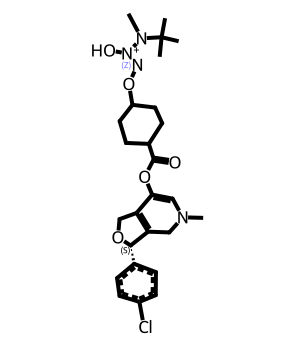 CN1C=C(OC(=O)C2CCC(O/N=[N+](\O)N(C)C(C)(C)C)CC2)C2=C(C1)[C@H](c1ccc(Cl)cc1)OC2